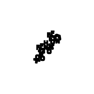 CC(C)(C)OC(=O)N1CC(NC(=O)C(C)(C)COc2ncccc2C(F)(F)F)C(F)(F)C1